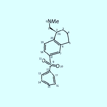 CNC[C@H]1CCCc2cc(S(=O)(=O)c3ccccc3)ccc21